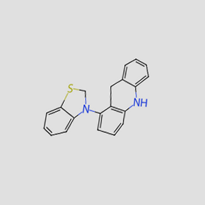 c1ccc2c(c1)Cc1c(cccc1N1CSc3ccccc31)N2